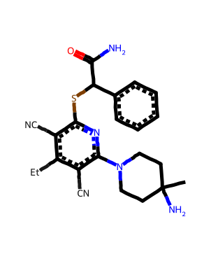 CCc1c(C#N)c(SC(C(N)=O)c2ccccc2)nc(N2CCC(C)(N)CC2)c1C#N